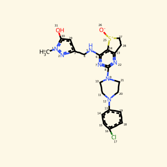 Cn1nc(CNc2nc(N3CCN(c4ccc(Cl)cc4)CC3)nc3c2[S+]([O-])CC3)cc1O